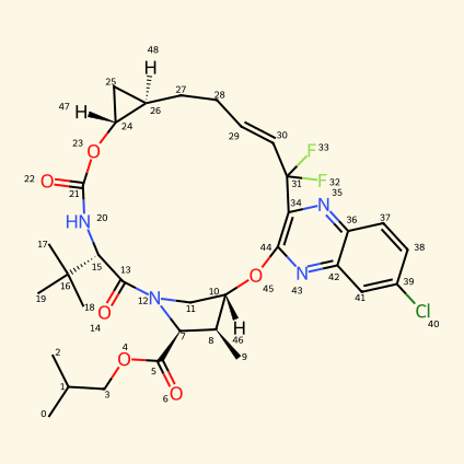 CC(C)COC(=O)[C@@H]1[C@H](C)[C@@H]2CN1C(=O)[C@H](C(C)(C)C)NC(=O)O[C@@H]1C[C@H]1CC/C=C/C(F)(F)c1nc3ccc(Cl)cc3nc1O2